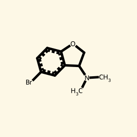 CN(C)C1COc2ccc(Br)cc21